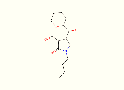 CCCCN1CC(C(O)C2CCCCO2)C(C=O)C1=O